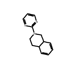 C1=CC2CCN(c3ncccn3)CC2C=C1